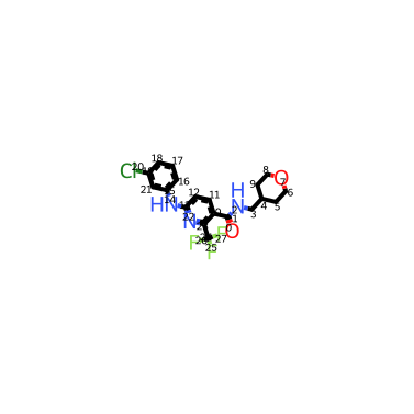 O=C(NCC1CCOCC1)c1ccc(Nc2cccc(Cl)c2)nc1C(F)(F)F